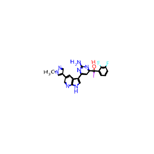 Cn1cc(-c2cnc3[nH]cc(-c4cc([C@@](O)(I)c5cccc(F)c5F)nc(N)n4)c3c2)cn1